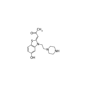 CC(=O)/C=C1\Sc2ccc(O)cc2N1CCN1CCNCC1